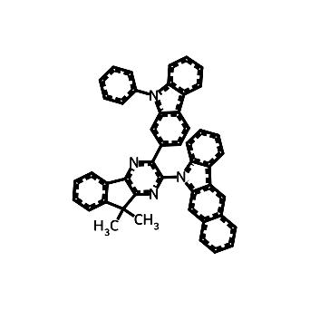 CC1(C)c2ccccc2-c2nc(-c3ccc4c5ccccc5n(-c5ccccc5)c4c3)c(-n3c4ccccc4c4cc5ccccc5cc43)nc21